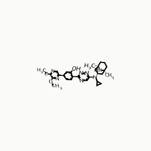 COc1ncc(-c2ccc(-c3ncc(N(C4CC4)[C@H]4C[C@]5(C)CCC[C@](C)(C4)N5)nn3)c(O)c2)nc1OC